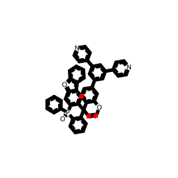 O=P1(c2ccccc2)c2ccccc2C2(c3ccccc3Oc3cc(-c4cc(-c5ccncc5)cc(-c5ccncc5)c4)ccc32)c2cc3c(cc21)oc1ccccc13